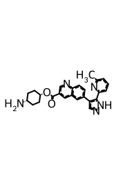 Cc1cccc(-c2[nH]ncc2-c2ccc3ncc(C(=O)O[C@H]4CC[C@@H](N)CC4)cc3c2)n1